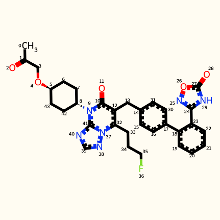 CC(=O)CO[C@H]1CC[C@H](n2c(=O)c(Cc3ccc(-c4ccccc4-c4noc(=O)[nH]4)cc3)c(CCCF)n3ncnc32)CC1